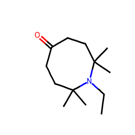 CCN1C(C)(C)CCC(=O)CCC1(C)C